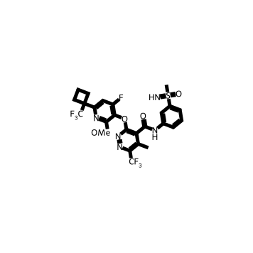 COc1nc(C2(C(F)(F)F)CCC2)cc(F)c1Oc1nnc(C(F)(F)F)c(C)c1C(=O)Nc1cccc(S(C)(=N)=O)c1